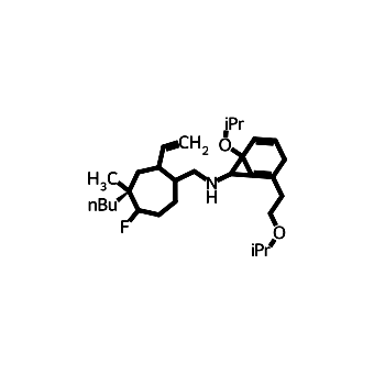 C=CC1C[C@](C)(CCCC)C(F)CCC1CNC1C2=C(CCOC(C)C)CC=CC21OC(C)C